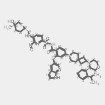 CC(C)c1ccccc1[C@@H]1COCCN1C1CC2(CCN(c3ccc(C(=O)NS(=O)(=O)c4ccc(NC[C@H]5CC[C@](C)(O)CC5)c(N=O)n4)c(Oc4cnc5[nH]ccc5c4)c3)CC2)C1